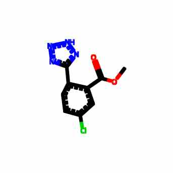 COC(=O)c1cc(Cl)ccc1-c1nn[nH]n1